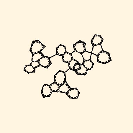 c1ccc2c(c1)-c1ccccc1C21c2cccc(-c3c4cccc(-c5ccc6c7ccccc7n7c8ccccc8c5c67)c4cc4c(-c5ccc6c7ccccc7n7c8ccccc8c5c67)cccc34)c2-c2c1ccc1ccccc21